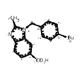 Cc1nc2ccc(C(=O)O)cc2n1Cc1ccc(C(C)(C)C)cc1